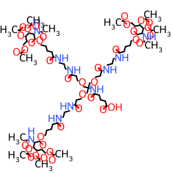 CC(=O)N[C@H]1C(OC(C)=O)[C@@H](OC(C)=O)C(COC(C)=O)O[C@H]1OCCCCC(=O)NCCCNC(=O)CCOCC(COCCC(=O)NCCCNC(=O)CCCCO[C@@H]1OC(COC(C)=O)[C@H](OC(C)=O)C(OC(C)=O)[C@@H]1NC(C)=O)(COCCC(=O)NCCCNC(=O)CCCCO[C@@H]1OC(COC(C)=O)[C@H](OC(C)=O)C(OC(C)=O)[C@@H]1NC(C)=O)NC(=O)CCCC(=O)O